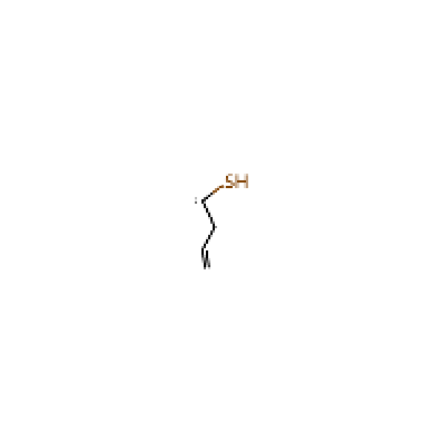 C=CC[C]S